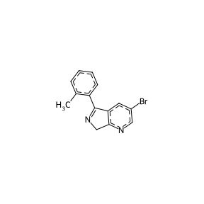 Cc1ccccc1C1=NCc2ncc(Br)cc21